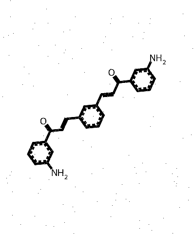 Nc1cccc(C(=O)C=Cc2cccc(C=CC(=O)c3cccc(N)c3)c2)c1